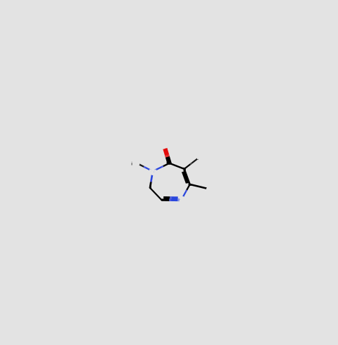 CC1=C(C(C)C)C(=O)N(C(C)C)CC=N1